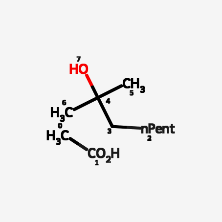 CC(=O)O.CCCCCCC(C)(C)O